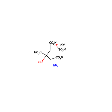 N.O=C(O)CC(O)(CC(=O)O)C(=O)O.O=S(=O)([O-])O.[Na+]